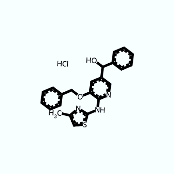 Cc1csc(Nc2ncc(C(O)c3ccccc3)cc2OCc2ccccc2)n1.Cl